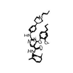 CCCc1ccc(Oc2nc(Nc3ccc(C4CCN(CCC)CC4)cc3)ncc2C(=O)Nc2c(C)cccc2C)c(OC)c1